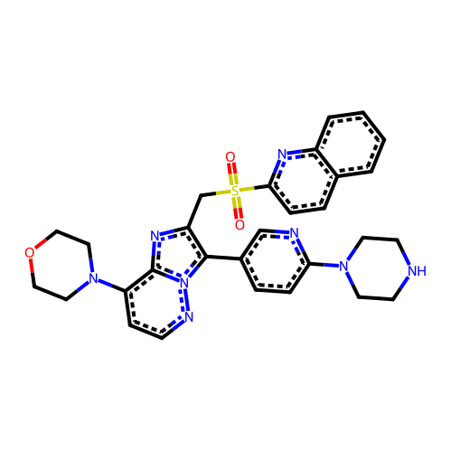 O=S(=O)(Cc1nc2c(N3CCOCC3)ccnn2c1-c1ccc(N2CCNCC2)nc1)c1ccc2ccccc2n1